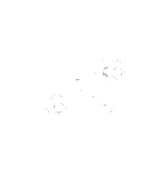 C=C[C@H]1[C@@H](C)[C@H](n2cnc3c(N)ncnc32)O[C@@H]1COP(=O)(S)O[C@H]1C(O[Si](C)(C)C(C)(C)C)[C@H](n2ccc3c(N)ncnc32)O[C@@H]1COP(=O)(O)S